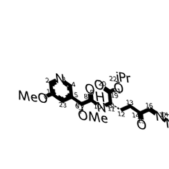 COc1cncc([C@@H](OC)C(=O)N[C@@H](CCC(=O)C=[N+]=[N-])C(=O)OC(C)C)c1